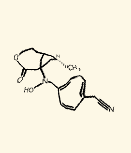 C[C@H]1C2COC(=O)C21N(O)c1ccc(C#N)cc1